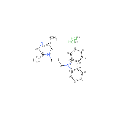 C[C@@H]1CN(CCCn2c3ccccc3c3ccccc32)[C@H](C)CN1.Cl.Cl